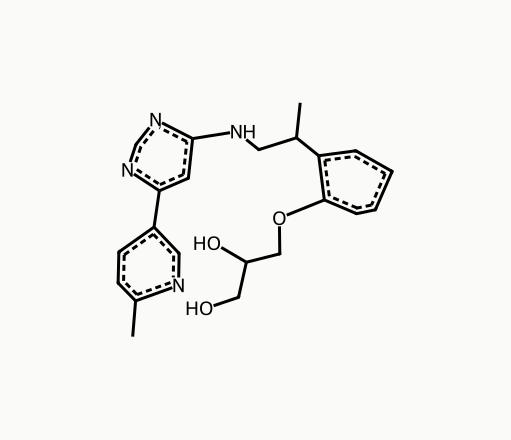 Cc1ccc(-c2cc(NCC(C)c3ccccc3OCC(O)CO)ncn2)cn1